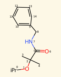 CC(C)OC(C)(C)C(=O)NCc1ccccc1